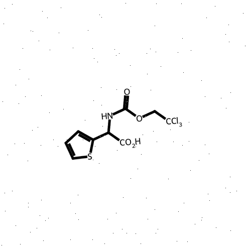 O=C(NC(C(=O)O)c1cccs1)OCC(Cl)(Cl)Cl